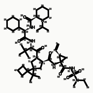 C=C[C@@H]1C[C@]1(NC(=O)[C@@H]1C[C@@]2(CN1C(=O)[C@@H](NC(=O)[C@@H](NC(=O)[C@@H]1CCCCN1C(C)C)C1CCCCC1)C(C)(C)C)C(C)(C)C21CCC1)C(=O)NS(=O)(=O)N(C)CC